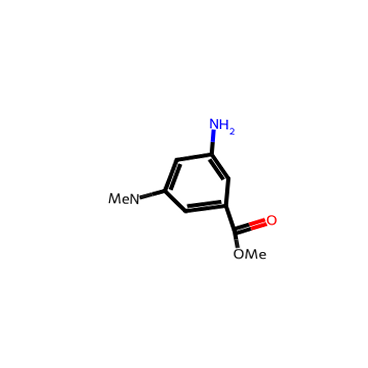 CNc1cc(N)cc(C(=O)OC)c1